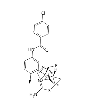 NC1=N[C@](CF)(c2cc(NC(=O)c3ccc(Cl)cn3)ccc2F)[C@@H]2C[C@]2(c2cnco2)S1